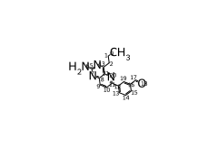 CCCc1nc(N)nc2ccc(-c3cccc(C=O)c3)nc12